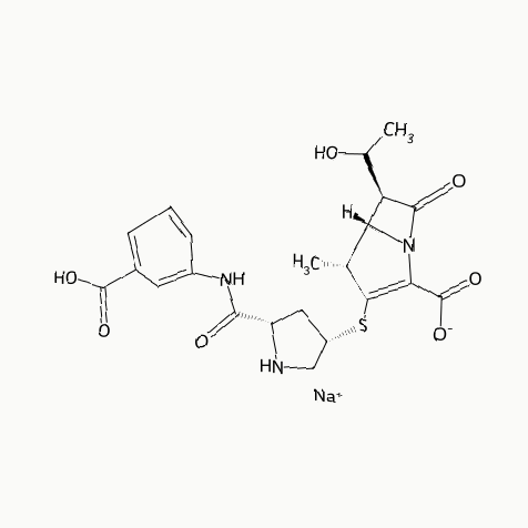 CC(O)[C@H]1C(=O)N2C(C(=O)[O-])=C(S[C@@H]3CN[C@H](C(=O)Nc4cccc(C(=O)O)c4)C3)[C@H](C)[C@H]12.[Na+]